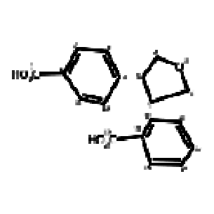 C1CCOC1.O=C(O)c1ccccc1.O=C(O)c1ccccc1